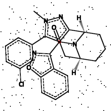 Cn1nc2c(c1-c1cccc(Cl)c1)C[C@@H]1CCC[C@H]2N1C(=O)c1noc2ccccc12